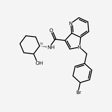 O=C(N[C@H]1CCCCC1O)c1cn(CC2=CCC(Br)C=C2)c2cccnc12